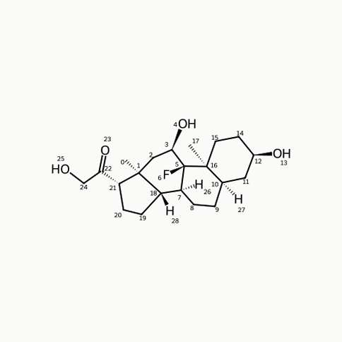 C[C@]12C[C@@H](O)[C@@]3(F)[C@@H](CC[C@@H]4C[C@H](O)CC[C@@]43C)[C@@H]1CC[C@@H]2C(=O)CO